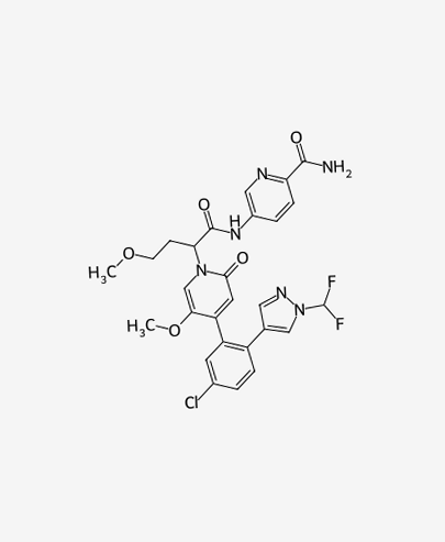 COCCC(C(=O)Nc1ccc(C(N)=O)nc1)n1cc(OC)c(-c2cc(Cl)ccc2-c2cnn(C(F)F)c2)cc1=O